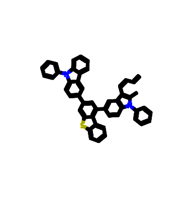 C=C/C=C\c1c(C)n(-c2ccccc2)c2ccc(-c3cc(-c4ccc5c(c4)c4ccccc4n5-c4ccccc4)cc4sc5ccccc5c34)cc12